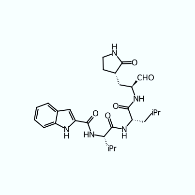 CC(C)C[C@H](NC(=O)[C@@H](NC(=O)c1cc2ccccc2[nH]1)C(C)C)C(=O)N[C@H](C=O)C[C@@H]1CCNC1=O